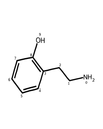 NCCc1[c]cccc1O